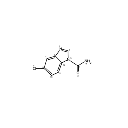 NC(=O)n1[c]nc2cc(Cl)ccc21